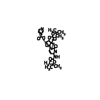 CC(C)(C)OC(=O)Nc1ccn([C@@H]2O[C@H](COC(=O)n3ccnc3)C(OC(=O)OC(C)(C)C)C2(F)F)c(=O)n1